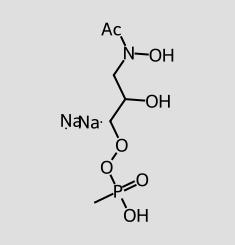 CC(=O)N(O)CC(O)COOP(C)(=O)O.[Na].[Na]